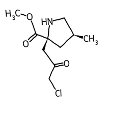 COC(=O)[C@@]1(CC(=O)CCl)C[C@H](C)CN1